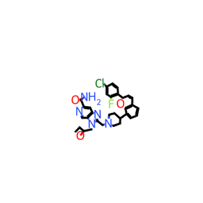 NC(=O)c1cc2nc(CN3CCC(c4cccc5c4OC(c4ccc(Cl)cc4F)C=C5)CC3)n(CC3CCO3)c2cn1